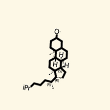 CC(C)CCC[C@@H](C)[C@H]1CC[C@H]2[C@@H]3CCC4CC([O])CC[C@]4(C)[C@H]3CC[C@]12C